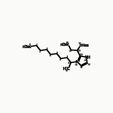 CCCCCCCCCCCCCCCCCC(C)[n+]1cc[nH]c1C(CCCCCC)CCCCCCCCCCC